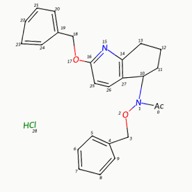 CC(=O)N(OCc1ccccc1)C1CCCc2nc(OCc3ccccc3)ccc21.Cl